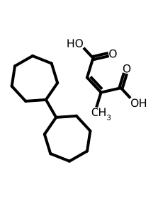 C/C(=C/C(=O)O)C(=O)O.C1CCCC(C2CCCCCC2)CC1